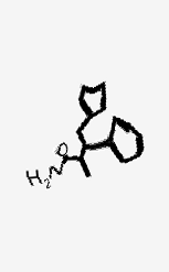 C=C(C(N)=O)C(Cc1ccccc1)c1ccccc1